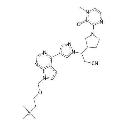 Cn1ccnc(N2CCC(C(CC#N)n3cc(-c4ncnc5c4ccn5COCC[Si](C)(C)C)cn3)C2)c1=O